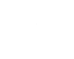 C1=CO[Te]C1